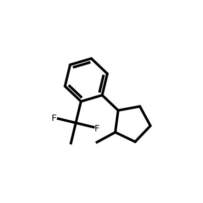 CC1CCCC1c1ccccc1C(C)(F)F